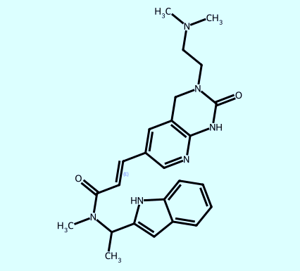 CC(c1cc2ccccc2[nH]1)N(C)C(=O)/C=C/c1cnc2c(c1)CN(CCN(C)C)C(=O)N2